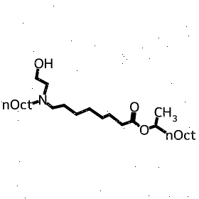 CCCCCCCCC(C)OC(=O)CCCCCCCN(CCO)CCCCCCCC